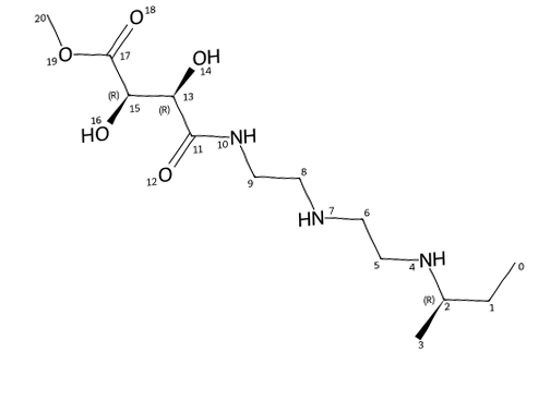 CC[C@@H](C)NCCNCCNC(=O)[C@H](O)[C@@H](O)C(=O)OC